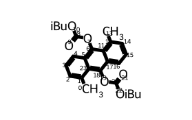 Cc1cccc2c(OC(=O)OCC(C)C)c3c(C)cccc3c(OC(=O)OCC(C)C)c12